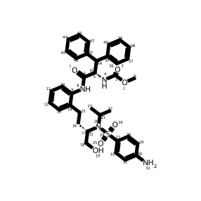 COC(=O)N[C@H](C(=O)Nc1ccccc1CC[C@@H](CO)N(C(C)C)S(=O)(=O)c1ccc(N)cc1)C(c1ccccc1)c1ccccc1